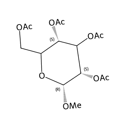 CO[C@@H]1OC(COC(C)=O)[C@H](OC(C)=O)C(OC(C)=O)[C@@H]1OC(C)=O